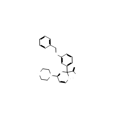 O=C(O)C1(c2cccc(OCc3ccccc3)c2)N=C(N2CCOCC2)C=CN1